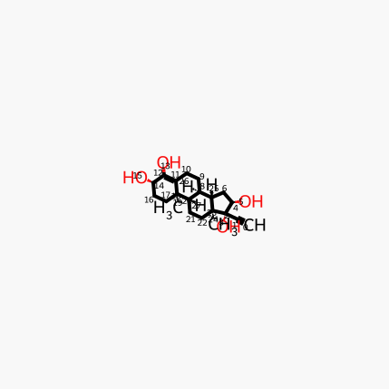 C#C[C@]1(O)[C@H](O)C[C@H]2[C@@H]3CCC4=C(O)[C@H](O)CC[C@]4(C)[C@H]3CC[C@@]21C